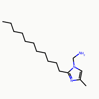 CCCCCCCCCCCc1nc(C)cn1CN